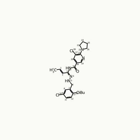 C/C=C/C(=N\NCc1cc(Cl)ccc1OCC(C)C)NC(=O)c1cnc(N2CCCC2)c(Cl)c1